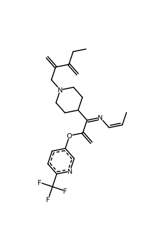 C=C(CC)C(=C)CN1CCC(/C(=N/C=C\C)C(=C)Oc2ccc(C(F)(F)F)nc2)CC1